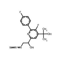 CC(C)(O)c1cc(C(O)CN=[N+]=[N-])nc(-c2ccc(F)cc2)c1F